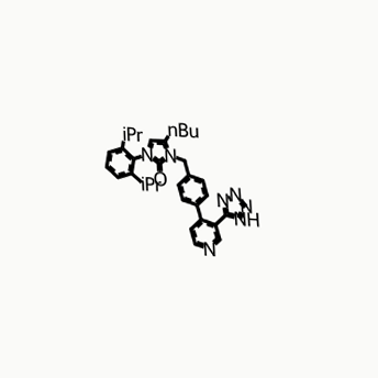 CCCCc1cn(-c2c(C(C)C)cccc2C(C)C)c(=O)n1Cc1ccc(-c2ccncc2-c2nnn[nH]2)cc1